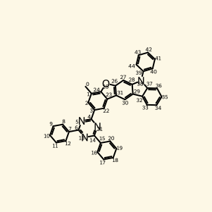 Cc1cc(-c2nc(-c3ccccc3)nc(-c3ccccc3)n2)cc2c1oc1cc3c(cc12)c1ccccc1n3-c1ccccc1